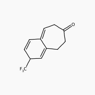 O=C1CC=C2C=CC(C(F)(F)F)C=C2CC1